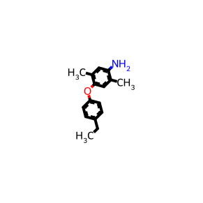 CCc1ccc(Oc2cc(C)c(N)cc2C)cc1